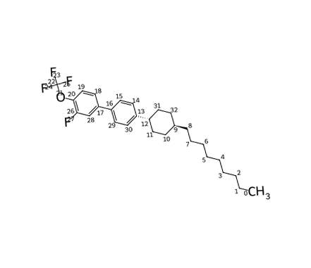 CCCCCCCCC[C@H]1CC[C@H](c2ccc(-c3ccc(OC(F)(F)F)c(F)c3)cc2)CC1